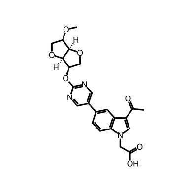 CO[C@@H]1CO[C@H]2[C@@H]1OC[C@H]2Oc1ncc(-c2ccc3c(c2)c(C(C)=O)cn3CC(=O)O)cn1